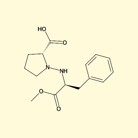 COC(=O)[C@H](Cc1ccccc1)NN1CCC[C@@H]1C(=O)O